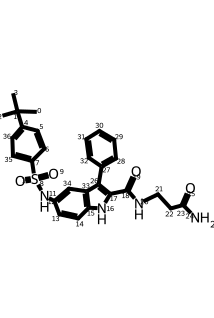 CC(C)(C)c1ccc(S(=O)(=O)Nc2ccc3[nH]c(C(=O)NCCC(N)=O)c(-c4ccccc4)c3c2)cc1